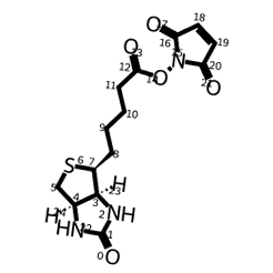 O=C1N[C@H]2[C@H](CS[C@H]2CCCCC(=O)ON2C(=O)C=CC2=O)N1